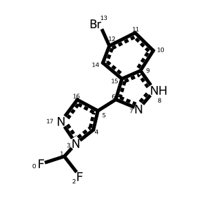 FC(F)n1cc(-c2n[nH]c3ccc(Br)cc23)cn1